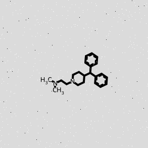 CN(C)CCN1CCC(C(c2ccccc2)c2ccccc2)CC1